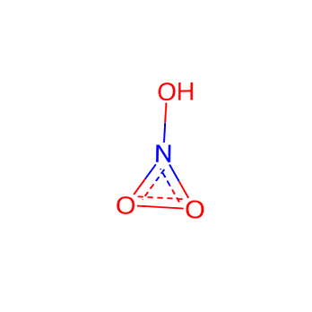 On1oo1